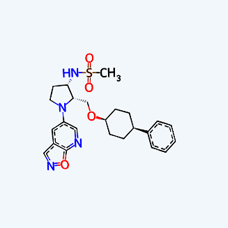 CS(=O)(=O)N[C@H]1CCN(c2cnc3oncc3c2)[C@H]1CO[C@H]1CC[C@@H](c2ccccc2)CC1